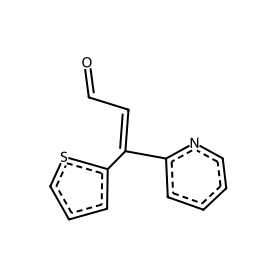 O=CC=C(c1ccccn1)c1cccs1